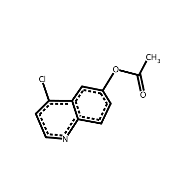 CC(=O)Oc1ccc2nccc(Cl)c2c1